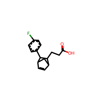 O=C(O)CCC1C2C=CC(C2)C1c1ccc(F)cc1